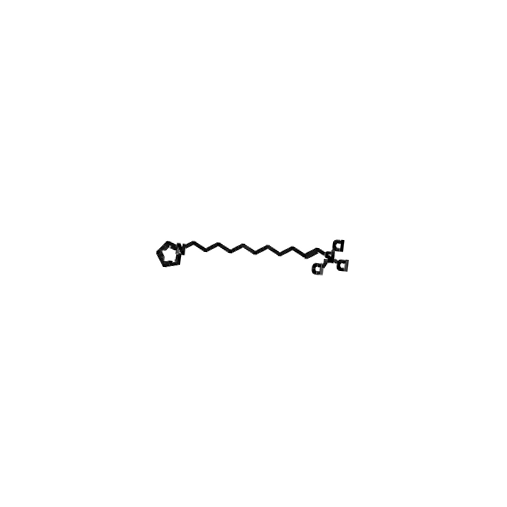 Cl[Si](Cl)(Cl)/C=C/CCCCCCCCCn1cccc1